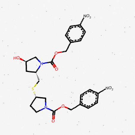 O=C(OCc1ccc([N+](=O)[O-])cc1)N1CC[C@H](SC[C@@H]2C[C@@H](O)CN2C(=O)OCc2ccc([N+](=O)[O-])cc2)C1